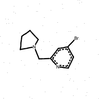 Brc1ccnc(CN2CCCC2)c1